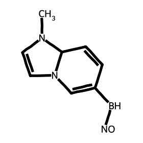 CN1C=CN2C=C(BN=O)C=CC12